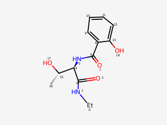 CCNC(=O)[C@H](NC(=O)c1ccccc1O)[C@H](C)O